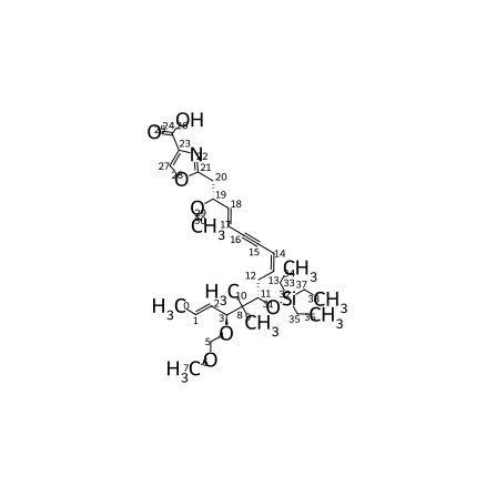 C/C=C/[C@H](OCOC)C(C)(C)[C@H](C/C=C\C#C/C=C/[C@@H](Cc1nc(C(=O)O)co1)OC)O[Si](CC)(CC)CC